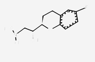 CN(C)C[C@@H](O)[C@H]1CCc2cc(F)ccc2O1